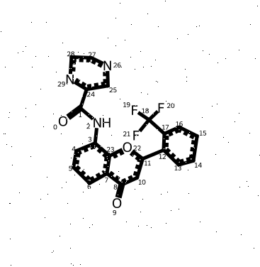 O=C(Nc1cccc2c(=O)cc(-c3ccccc3C(F)(F)F)oc12)c1cnccn1